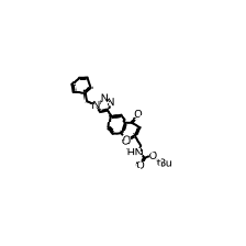 CC(C)(C)OC(=O)NCc1cc(=O)c2cc(-c3cn(Cc4ccccc4)nn3)ccc2o1